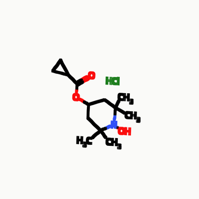 CC1(C)CC(OC(=O)C2CC2)CC(C)(C)N1O.Cl